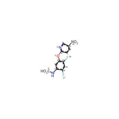 O=C(O)Nc1cc(Oc2ccc([N+](=O)[O-])cn2)c(F)cc1F